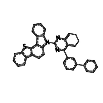 C1=c2nc(-n3c4ccccc4c4c5sc6ccccc6c5ccc43)nc(-c3cccc(-c4ccccc4)c3)c2=CCC1